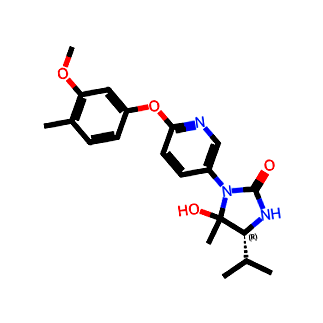 COc1cc(Oc2ccc(N3C(=O)N[C@H](C(C)C)C3(C)O)cn2)ccc1C